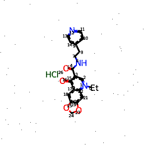 CCn1cc(C(=O)NCCc2ccncc2)c(=O)c2cc3c(cc21)OCO3.Cl